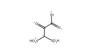 CCC(=O)C(=O)C(S(=O)(=O)O)S(=O)(=O)O